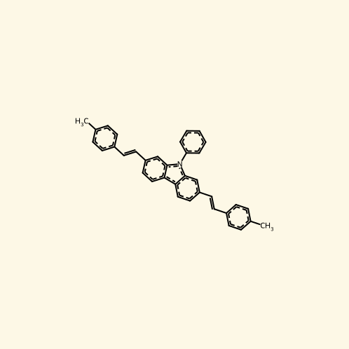 Cc1ccc(/C=C/c2ccc3c4ccc(/C=C/c5ccc(C)cc5)cc4n(-c4ccccc4)c3c2)cc1